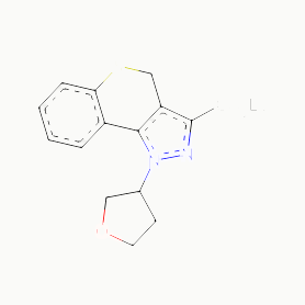 CCOC(=O)c1nn(C2CCOC2)c2c1CSc1ccccc1-2